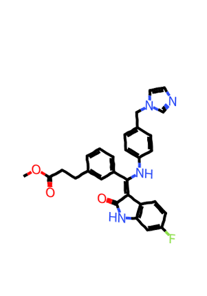 COC(=O)CCc1cccc(C(Nc2ccc(Cn3ccnc3)cc2)=C2C(=O)Nc3cc(F)ccc32)c1